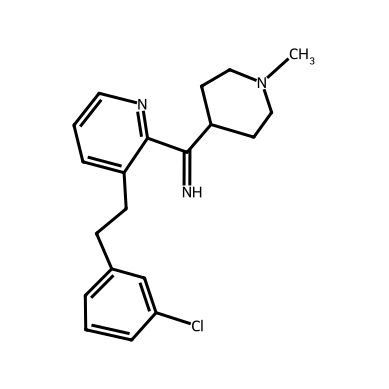 CN1CCC(C(=N)c2ncccc2CCc2cccc(Cl)c2)CC1